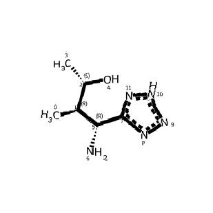 C[C@@H]([C@H](C)O)[C@@H](N)c1nn[nH]n1